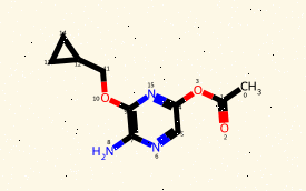 CC(=O)Oc1cnc(N)c(OCC2CC2)n1